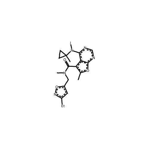 CCc1cc(CN(C)C(=O)c2c(C)oc3ncnc(N(I)C4(C)CC4)c23)on1